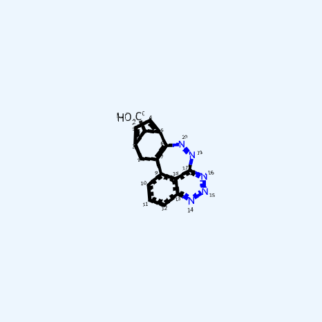 O=C(O)C1C2=CC=C1C1=C(C2)c2cccc3nnnc(c23)N=N1